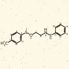 Cc1ccc(SOCCNSc2ccccc2)cc1